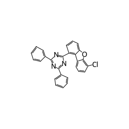 Clc1cccc2c1oc1cccc(-c3nc(-c4ccccc4)nc(-c4ccccc4)n3)c12